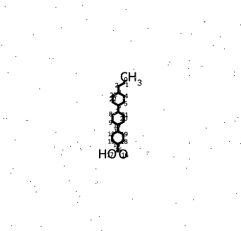 CCCC1CCC(C2CCC(C3CCC(C(=O)O)CC3)CC2)CC1